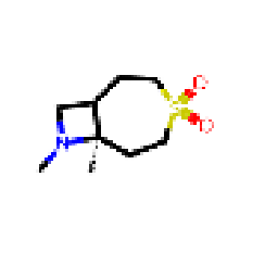 CN1CC2CCS(=O)(=O)CC[C@]21C